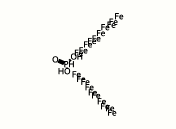 O=[PH](O)O.[Fe].[Fe].[Fe].[Fe].[Fe].[Fe].[Fe].[Fe].[Fe].[Fe].[Fe].[Fe].[Fe].[Fe].[Fe].[Fe].[Fe].[Fe].[Fe].[Fe]